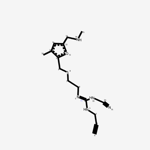 C#CCN/C(=N/CCSCc1oc(CNC)cc1C)NC#N